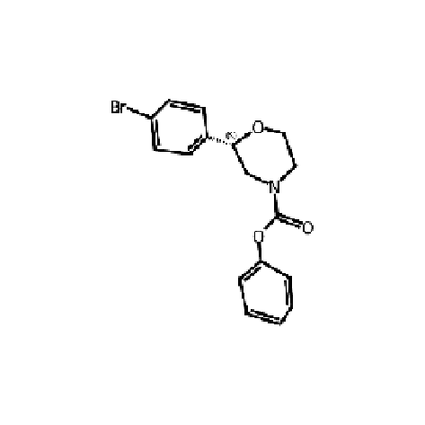 O=C(Oc1ccccc1)N1CCO[C@@H](c2ccc(Br)cc2)C1